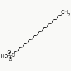 CCCCCCCCCCCCCCCCCCCCCOS(=O)(=O)O